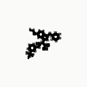 CCOc1ccc2c(c1)c(C(NCc1cccc(C(F)(F)F)c1)C(=O)O)cn2Cc1ccccc1